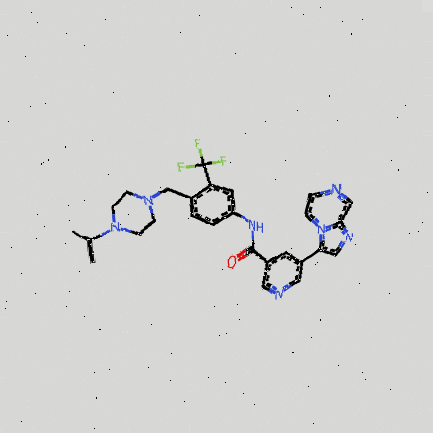 CC(C)N1CCN(Cc2ccc(NC(=O)c3cncc(-c4cnc5cnccn45)c3)cc2C(F)(F)F)CC1